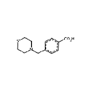 O=C(O)c1ccc(CN2CCSCC2)cc1